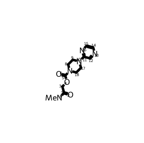 CNC(=O)COC(=O)N1CCN(c2cnccn2)CC1